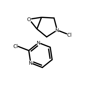 ClN1CC2OC2C1.Clc1ncccn1